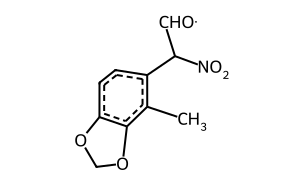 Cc1c(C([C]=O)[N+](=O)[O-])ccc2c1OCO2